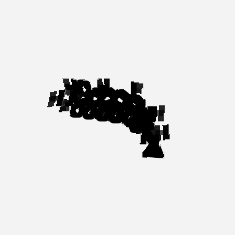 NC(=O)C1=C(O)C[C@@H]2CC3Cc4c(F)cc(NC(=O)CNCC5CC5)c(O)c4C(=O)C3=C(O)[C@]2(O)C1=O